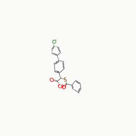 O=C(SC(C(=O)O)c1ccc(-c2ccc(Cl)cc2)cc1)c1ccccc1